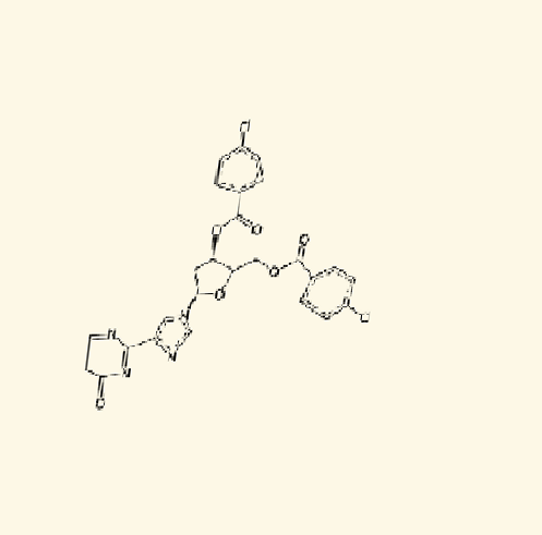 O=C1CC=NC(c2cn([C@H]3C[C@@H](OC(=O)c4ccc(Cl)cc4)C(COC(=O)c4ccc(Cl)cc4)O3)cn2)=N1